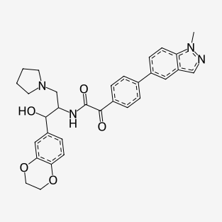 Cn1ncc2cc(-c3ccc(C(=O)C(=O)NC(CN4CCCC4)C(O)c4ccc5c(c4)OCCO5)cc3)ccc21